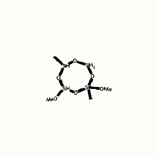 CO[SiH]1O[SiH](C)O[SiH2]O[Si](C)(OC)O1